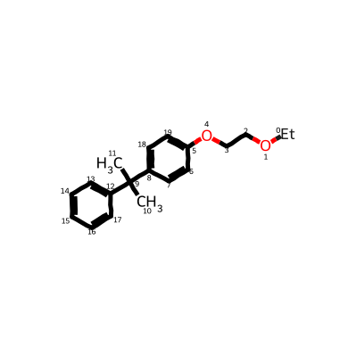 CCOCCOc1ccc(C(C)(C)c2ccccc2)cc1